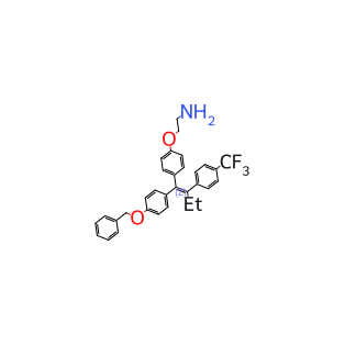 CC/C(=C(/c1ccc(OCCN)cc1)c1ccc(OCc2ccccc2)cc1)c1ccc(C(F)(F)F)cc1